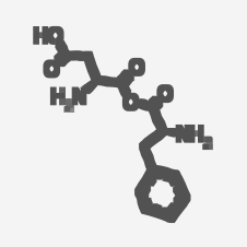 N[C@@H](CC(=O)O)C(=O)OC(=O)[C@@H](N)Cc1ccccc1